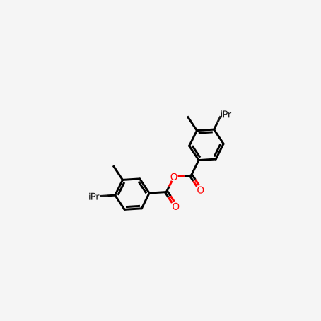 Cc1cc(C(=O)OC(=O)c2ccc(C(C)C)c(C)c2)ccc1C(C)C